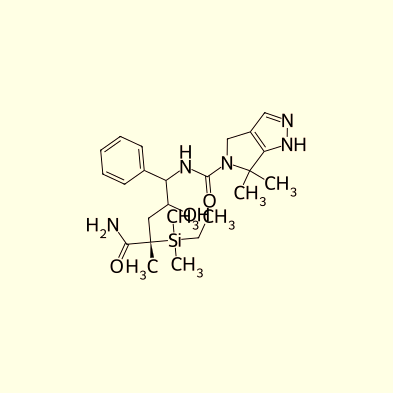 CC[Si](C)(C)[C@@](C)(CC(O)C(NC(=O)N1Cc2cn[nH]c2C1(C)C)c1ccccc1)C(N)=O